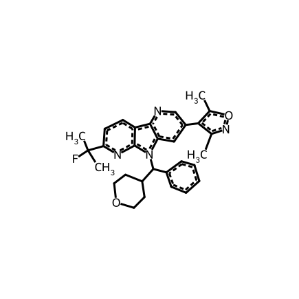 Cc1noc(C)c1-c1cnc2c3ccc(C(C)(C)F)nc3n(C(c3ccccc3)C3CCOCC3)c2c1